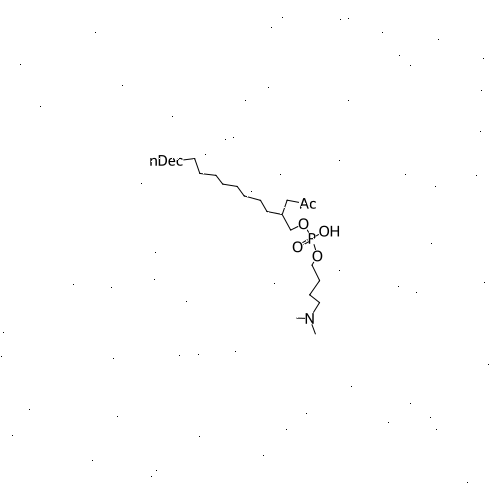 CCCCCCCCCCCCCCCCCCC(COP(=O)(O)OCCCCN(C)C)CC(C)=O